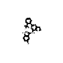 Fc1ccc2[nH]nc(Nc3nc(-c4ccccc4C(F)(F)F)nc4c3OCC4)c2c1